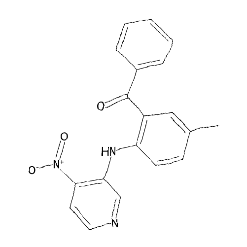 Cc1ccc(Nc2cnccc2[N+](=O)[O-])c(C(=O)c2ccccc2)c1